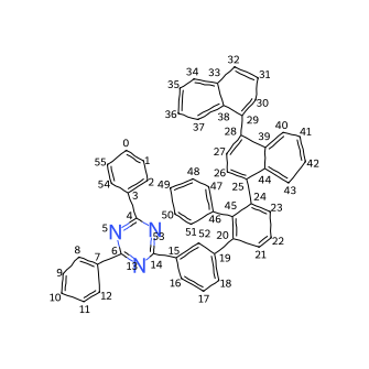 c1ccc(-c2nc(-c3ccccc3)nc(-c3cccc(-c4cccc(-c5ccc(-c6cccc7ccccc67)c6ccccc56)c4-c4ccccc4)c3)n2)cc1